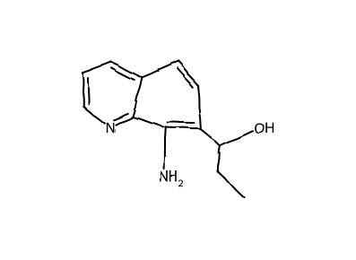 CCC(O)c1ccc2cccnc2c1N